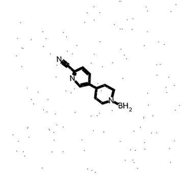 BN1CCC(c2ccc(C#N)nc2)CC1